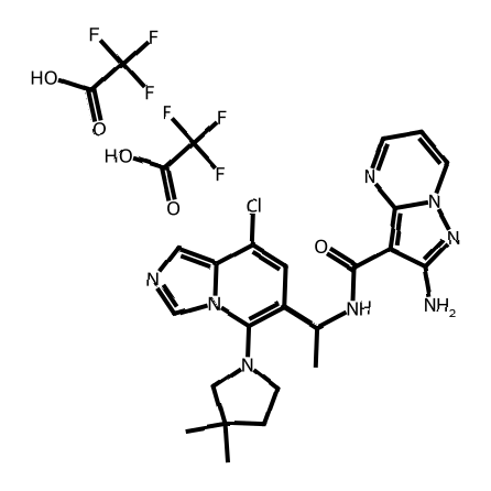 CC(NC(=O)c1c(N)nn2cccnc12)c1cc(Cl)c2cncn2c1N1CCC(C)(C)C1.O=C(O)C(F)(F)F.O=C(O)C(F)(F)F